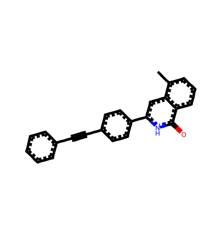 Cc1cccc2c(=O)[nH]c(-c3ccc(C#Cc4ccccc4)cc3)cc12